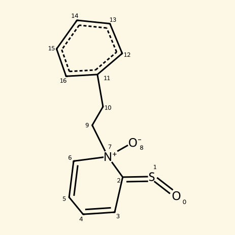 O=S=C1C=CC=C[N+]1([O-])CCc1ccccc1